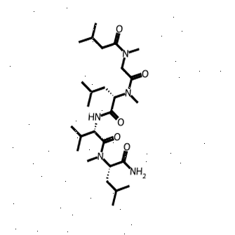 CC(C)CC(=O)N(C)CC(=O)N(C)[C@@H](CC(C)C)C(=O)N[C@H](C(=O)N(C)[C@@H](CC(C)C)C(N)=O)C(C)C